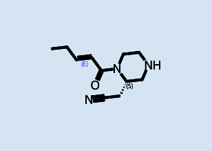 CC/C=C/C(=O)N1CCNC[C@@H]1CC#N